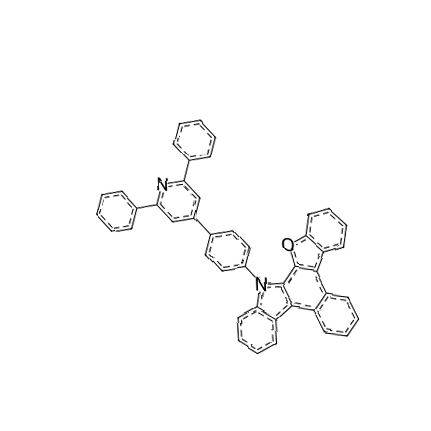 c1ccc(-c2cc(-c3ccc(-n4c5ccccc5c5c6ccccc6c6c7ccccc7oc6c54)cc3)cc(-c3ccccc3)n2)cc1